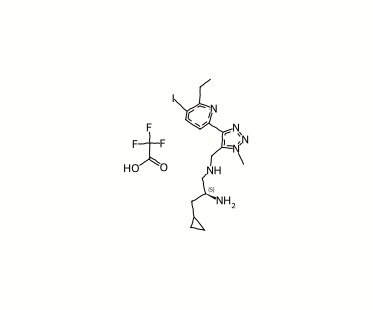 CCc1nc(-c2nnn(C)c2CNC[C@@H](N)CC2CC2)ccc1I.O=C(O)C(F)(F)F